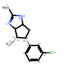 CSC1=NC2C(C[C@H](c3cccc(Cl)c3)[C@@H]2C)N1